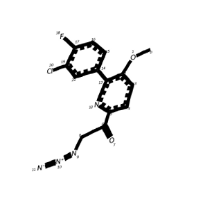 COc1ccc(C(=O)CN=[N+]=[N-])nc1-c1ccc(F)c(Cl)c1